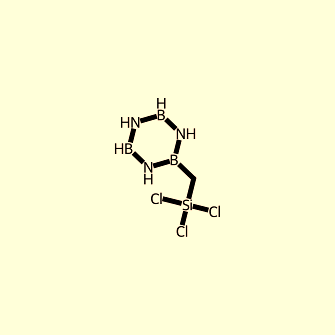 Cl[Si](Cl)(Cl)CB1NBNBN1